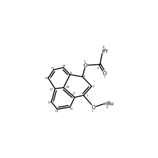 CCCCOC1=CC(OC(=O)C(C)C)c2cccc3cccc1c23